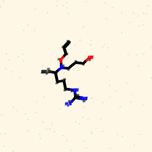 C=CCON(CCCO)C(CCCNC(=N)N)C(=O)O